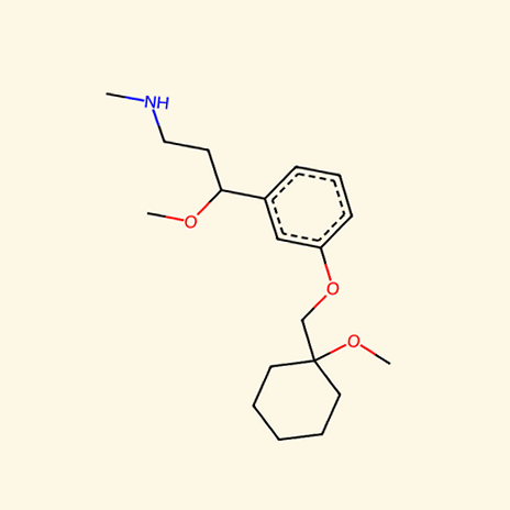 CNCCC(OC)c1cccc(OCC2(OC)CCCCC2)c1